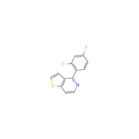 Fc1ccc(-c2nccc3sccc23)c(F)c1